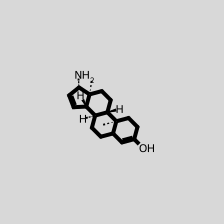 C[C@]12CC[C@H]3[C@@H](CCC4C=C(O)CC[C@@]43C)[C@@H]1C=C[C@@H]2N